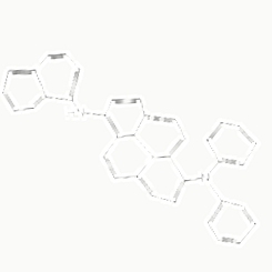 C1=CC2=C(Nc3cccc4ccccc34)C=CC3=CC=C4C(N(c5ccccc5)c5ccccc5)=CC=C1C4C32